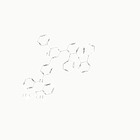 CC1(C)c2ccccc2N(c2ccc(-c3cc(-c4cccc5c4-c4ccccc4C54c5ccccc5-c5ccccc54)cc(-c4ccccc4)n3)cc2)c2ccccc21